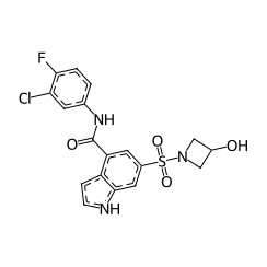 O=C(Nc1ccc(F)c(Cl)c1)c1cc(S(=O)(=O)N2CC(O)C2)cc2[nH]ccc12